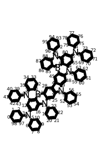 c1ccc(N(c2ccccc2)c2cc3c4c(c2)N(c2ccccc2)c2cc5c(cc2B4c2ccccc2N3c2ccccc2)c2cc3c(cc2n5-c2ccccc2)N(c2ccccc2)c2cc(N(c4ccccc4)c4ccccc4)cc4c2B3c2ccccc2N4c2ccccc2)cc1